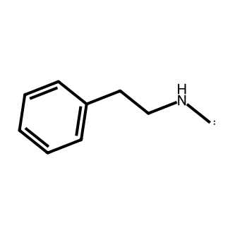 [CH]NCCc1ccccc1